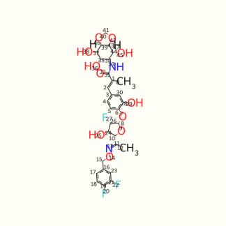 C/C(=C\c1ccc(O[C@@H]2O[C@H](/C(C)=N/OCc3ccc(F)c(F)c3)[C@@H](O)[C@@H]2F)c(O)c1)C(=O)N[C@@H]1[C@H](O)[C@@H](O)[C@H]2OCO[C@H]2[C@@H]1O